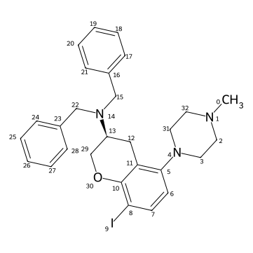 CN1CCN(c2ccc(I)c3c2C[C@H](N(Cc2ccccc2)Cc2ccccc2)CO3)CC1